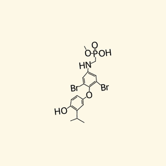 COP(=O)(O)CNc1cc(Br)c(Oc2ccc(O)c(C(C)C)c2)c(Br)c1